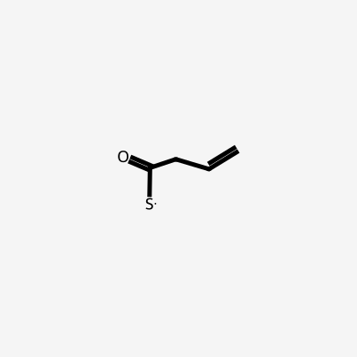 C=CCC(=O)[S]